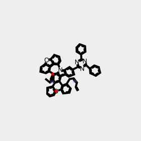 C=C/C=C\Cc1cccc(OC)c1-c1c(-c2ccccc2)ccc2c1c1ccc(-c3nc(-c4ccccc4)nc(-c4ccccc4)n3)cc1n2-c1cccc2oc3cccc(C/C=C\C)c3c12